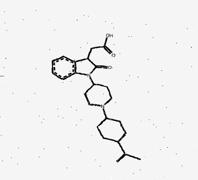 CC(C)C1CCC(N2CCC(N3C(=O)C(CC(=O)O)c4ccccc43)CC2)CC1